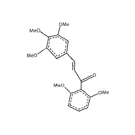 COc1cc(C=CC(=O)c2c(OC)cccc2OC)cc(OC)c1OC